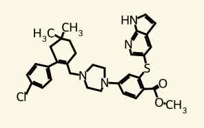 COC(=O)c1ccc(N2CCN(CC3=C(c4ccc(Cl)cc4)CC(C)(C)CC3)CC2)cc1Sc1cnc2[nH]ccc2c1